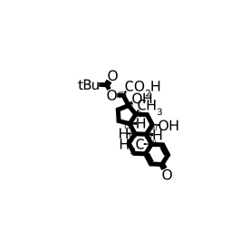 CC(C)(C)C(=O)O[C@H](C(=O)O)[C@@]1(O)CC[C@H]2[C@@H]3CCC4=CC(=O)C=C[C@]4(C)[C@H]3[C@@H](O)C[C@@]21C